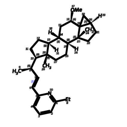 CCc1cccc(/C=C/[C@@H](C)[C@H]2CC[C@H]3[C@@H]4C[C@@H](OC)C56C[C@H]5CC[C@]6(C)[C@H]4CC[C@]23C)n1